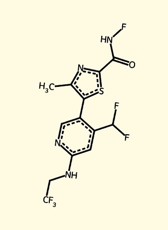 Cc1nc(C(=O)NF)sc1-c1cnc(NCC(F)(F)F)cc1C(F)F